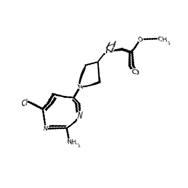 COC(=O)NC1CN(c2cc(Cl)nc(N)n2)C1